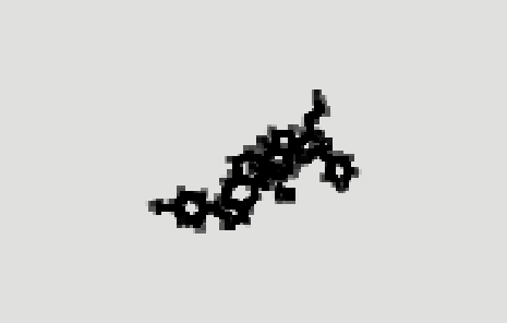 CC12Cc3cnn(-c4ccc(F)nc4)c3C=C1CC[C@H]1[C@@H]3CC[C@](OC(=O)C4CCOC4)(C(=O)SCF)[C@@]3(C)C[C@H](O)[C@@]12F